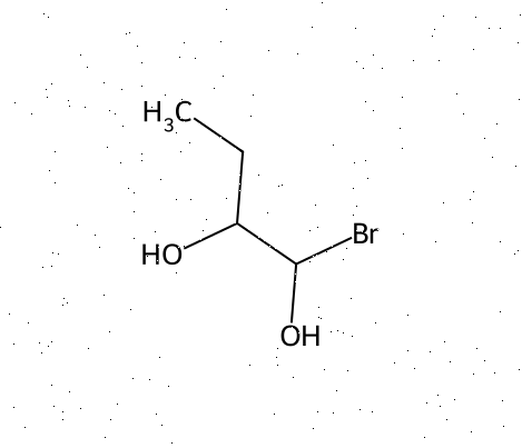 CCC(O)C(O)Br